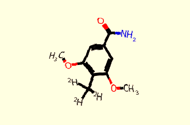 [2H]C([2H])([2H])c1c(OC)cc(C(N)=O)cc1OC